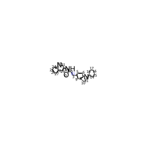 O=C(/C=C/c1ccc2c(c1)CCN2C1CCCCC1)Nc1cnc2ccccc2c1